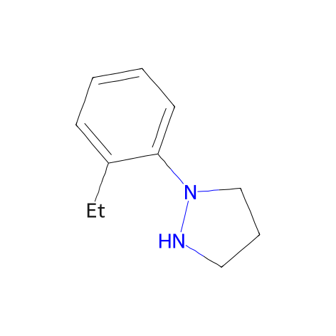 CCc1ccccc1N1CCCN1